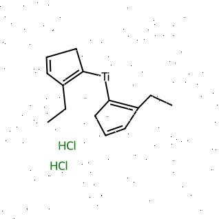 CCC1=[C]([Ti][C]2=C(CC)C=CC2)CC=C1.Cl.Cl